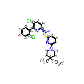 CC1(C(=O)O)CCN(c2cccc(SNc3ccc(Cl)c(-c4ccccc4Cl)n3)n2)CC1